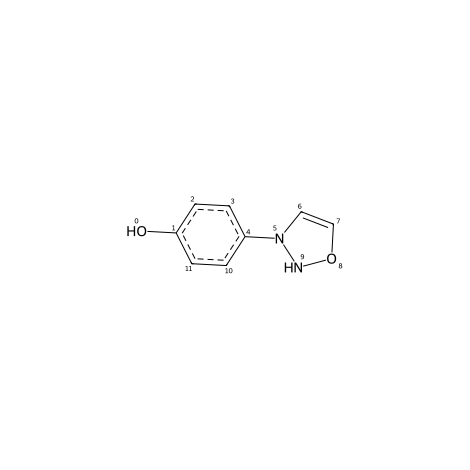 Oc1ccc(N2C=CON2)cc1